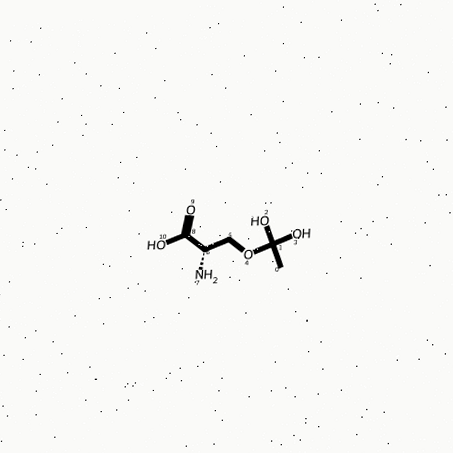 CC(O)(O)OC[C@H](N)C(=O)O